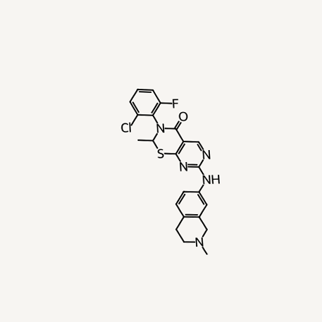 CC1Sc2nc(Nc3ccc4c(c3)CN(C)CC4)ncc2C(=O)N1c1c(F)cccc1Cl